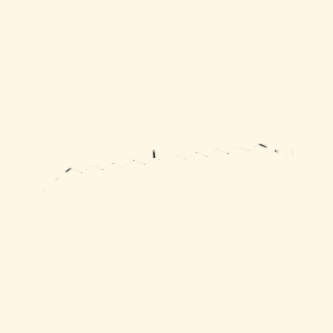 C=C=CCCCCCCCCOC(=O)CCCCCCCC=C=C